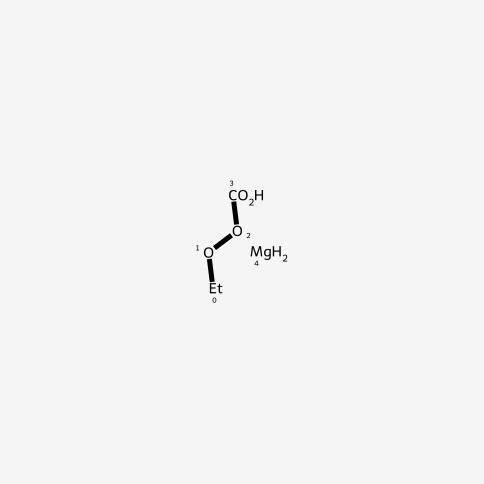 CCOOC(=O)O.[MgH2]